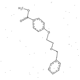 COC(=O)c1ccc(OCCOCc2ccccc2)cc1